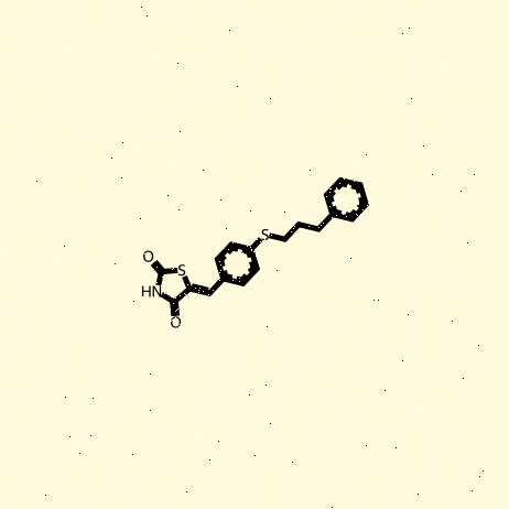 O=C1NC(=O)C(=Cc2ccc(SCCCc3ccccc3)cc2)S1